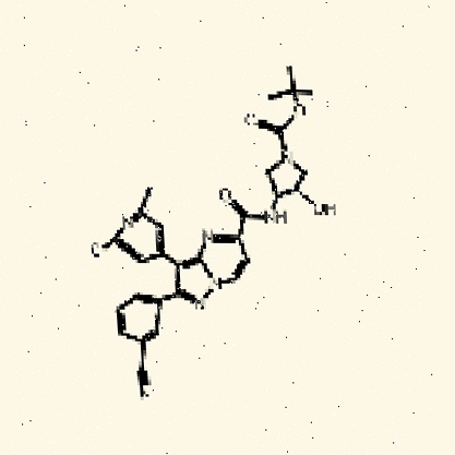 Cc1cc(-c2c(-c3cccc(C#N)c3)nn3ccc(C(=O)N[C@H]4CN(C(=O)OC(C)(C)C)C[C@H]4O)nc23)cc(Cl)n1